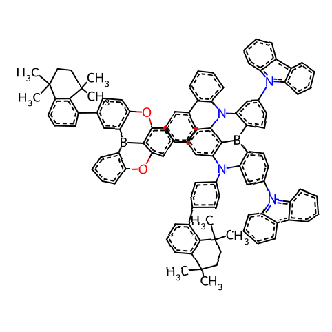 CC1(C)CCC(C)(C)c2c(-c3ccc(N4c5cc(-n6c7ccccc7c7ccccc76)ccc5B5c6ccc(-n7c8ccccc8c8ccccc87)cc6N(c6ccccc6-c6ccccc6)c6cc(-c7cc8c9c(c7)Oc7ccc(-c%10cccc%11c%10C(C)(C)CCC%11(C)C)cc7B9c7ccccc7O8)cc4c65)cc3)cccc21